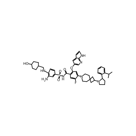 CC(C)c1ccccc1C1CCCN1C1CC2(CCN(c3cc(Oc4cnc5[nH]ccc5c4)c(C(=O)NS(=O)(=O)c4ccc(NCC5CCC(O)CC5)c(N)c4)cc3F)CC2)C1